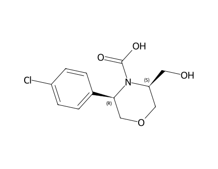 O=C(O)N1[C@@H](CO)COC[C@H]1c1ccc(Cl)cc1